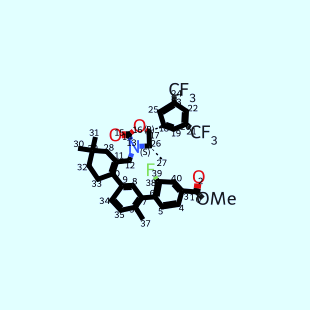 COC(=O)c1ccc(-c2cc(C3=C(CN4C(=O)O[C@H](c5cc(C(F)(F)F)cc(C(F)(F)F)c5)[C@@H]4C)CC(C)(C)CC3)ccc2C)c(F)c1